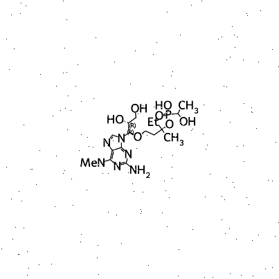 CCC(C)(CCO[C@H]([C@H](O)CO)n1cnc2c(NC)nc(N)nc21)OP(=O)(O)C(C)O